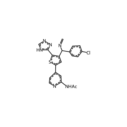 C=NC(c1ccc(Cl)cc1)c1cc(-c2ccnc(NC(C)=O)c2)sc1-c1nnc[nH]1